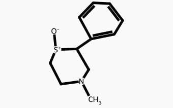 CN1CC[S+]([O-])C(c2ccccc2)C1